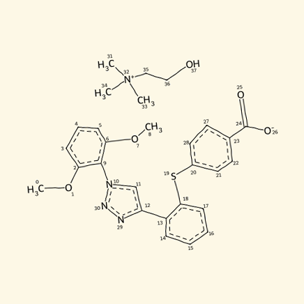 COc1cccc(OC)c1-n1cc(-c2ccccc2Sc2ccc(C(=O)[O-])cc2)nn1.C[N+](C)(C)CCO